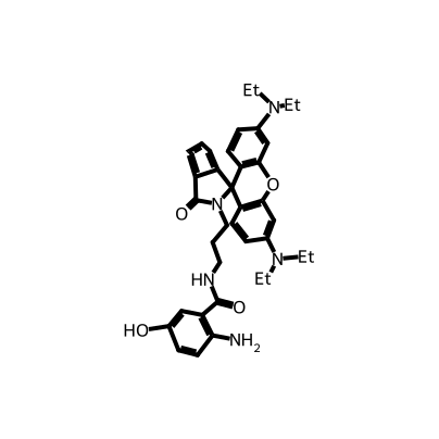 CCN(CC)c1ccc2c(c1)Oc1cc(N(CC)CC)ccc1C21c2ccccc2C(=O)N1CCCNC(=O)c1cc(O)ccc1N